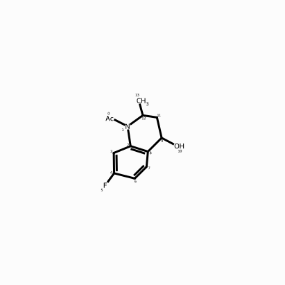 CC(=O)N1c2cc(F)ccc2C(O)CC1C